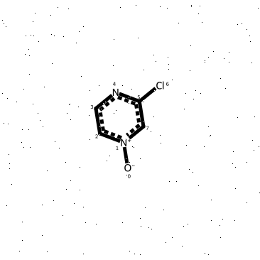 [O-][n+]1ccnc(Cl)c1